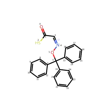 O=C(S)/C=N\OC(c1ccccc1)(c1ccccc1)c1ccccc1